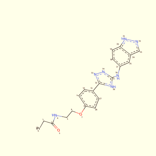 CC(C)CC(=O)NCCOc1ccc(-c2nnc(Nc3ccc4[nH]ncc4c3)[nH]2)cc1